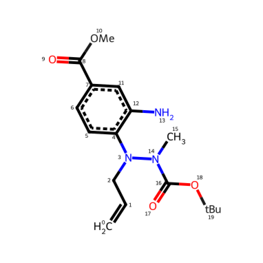 C=CCN(c1ccc(C(=O)OC)cc1N)N(C)C(=O)OC(C)(C)C